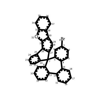 Brc1ccc2c(c1)C1(c3ccccc3-c3ccccc3-2)c2ccccc2-c2c1ccc1c2oc2ccccc21